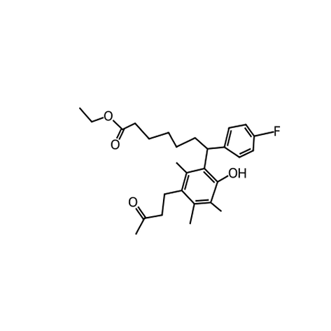 CCOC(=O)CCCCCC(c1ccc(F)cc1)c1c(C)c(CCC(C)=O)c(C)c(C)c1O